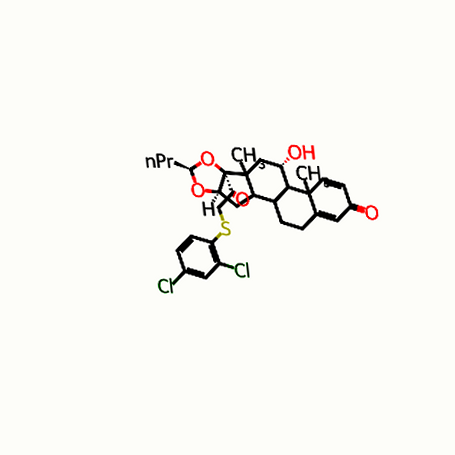 CCC[C@@H]1O[C@@H]2CC3C4CCC5=CC(=O)C=CC5(C)C4[C@@H](O)CC3(C)[C@]2(C(=O)CSc2ccc(Cl)cc2Cl)O1